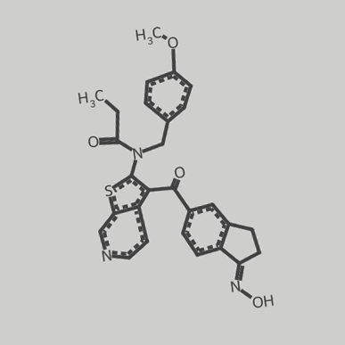 CCC(=O)N(Cc1ccc(OC)cc1)c1sc2cnccc2c1C(=O)c1ccc2c(c1)CCC2=NO